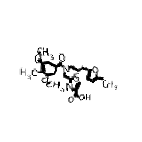 CCc1ccc(CCCN(Cc2nc(C(=O)O)cs2)C(=O)c2cc(OC)c(C)c(OC)c2)o1